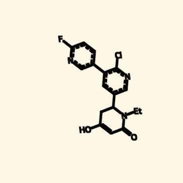 CCN1C(=O)C=C(O)CC1c1cnc(Cl)c(-c2ccc(F)nc2)c1